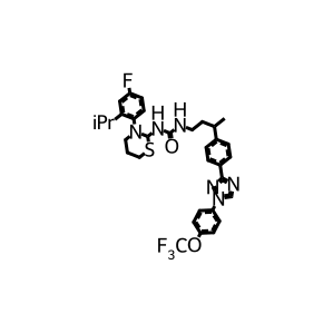 CC(C)c1cc(F)ccc1N1CCCSC1NC(=O)NCCC(C)c1ccc(-c2ncn(-c3ccc(OC(F)(F)F)cc3)n2)cc1